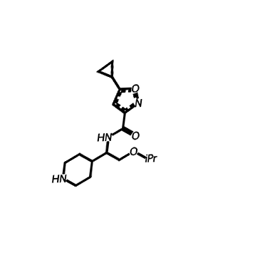 CC(C)OCC(NC(=O)c1cc(C2CC2)on1)C1CCNCC1